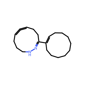 C1=CCCCNN=C(C2=CCCCCCCCCC2)CCC=1